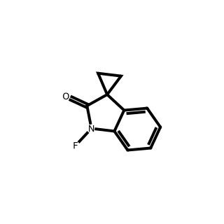 O=C1N(F)c2ccccc2C12CC2